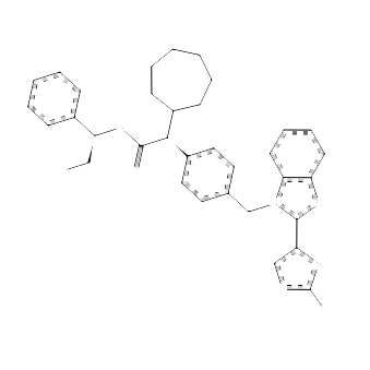 Cc1nc(-c2nc3ccccc3n2Cc2ccc([C@@H](C(=O)N[C@@H](CO)c3ccccc3)C3CCCCCC3)cc2)cs1